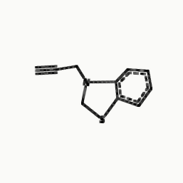 C#CCN1CSc2ccccc21